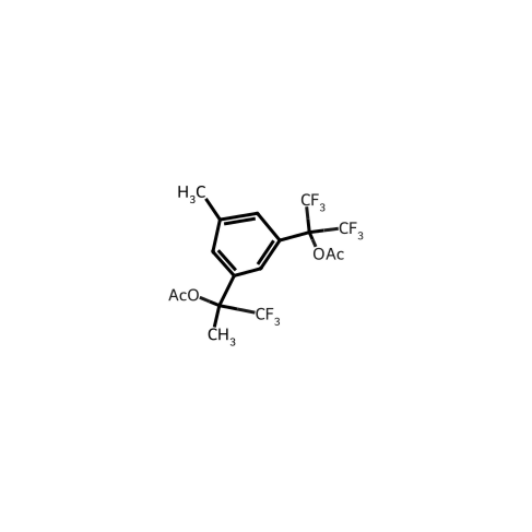 CC(=O)OC(C)(c1cc(C)cc(C(OC(C)=O)(C(F)(F)F)C(F)(F)F)c1)C(F)(F)F